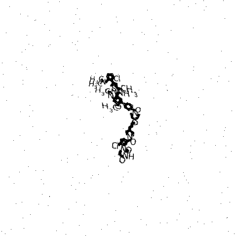 COc1cc2nc(C)nc(N[C@H](C)c3cc(-c4c(Cl)cccc4CN(C)C)cs3)c2cc1C1CCC(C(=O)N2CCC(OCCCC3CCN(C(=O)c4ccc(Cl)c(N5CCC(=O)NC5=O)c4)CC3)CC2)CC1